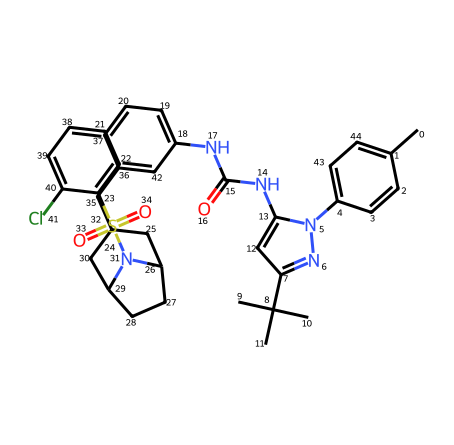 Cc1ccc(-n2nc(C(C)(C)C)cc2NC(=O)Nc2cccc(CC3CC4CCC(C3)N4S(=O)(=O)c3ccccc3Cl)c2)cc1